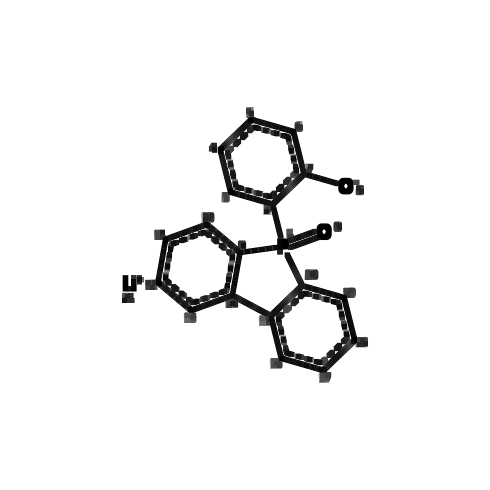 O=P1(c2ccccc2[O-])c2ccccc2-c2ccccc21.[Li+]